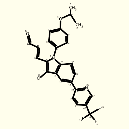 CC(C)Oc1ccc(-n2c(C=C[C]=O)c(Cl)c3cc(-c4ccc(C(F)(F)F)cn4)ccc32)cc1